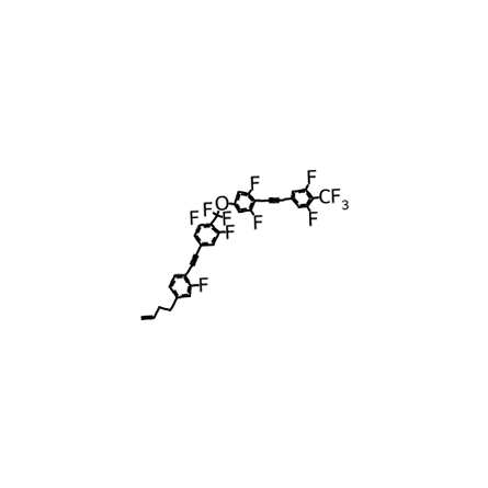 C=CCCc1ccc(C#Cc2cc(F)c(C(F)(F)Oc3cc(F)c(C#Cc4cc(F)c(C(F)(F)F)c(F)c4)c(F)c3)c(F)c2)c(F)c1